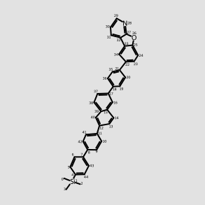 C[Si](C)(C)c1ccc(-c2ccc(-c3ccc4cc(-c5ccc(-c6ccc7oc8ncccc8c7c6)cc5)ccc4c3)cc2)cc1